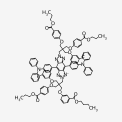 CCCCOC(=O)c1cccc(OCC(COc2ccc(C(=O)OCCC)cc2)(COc2cccc(F)c2)C[n+]2nc3c(-c4ccc(N(c5ccccc5)c5ccccc5)cc4)c4nn(CC(COc5ccc(C(=O)OCCC)cc5)(COc5ccc(C(=O)OCCC)cc5)COc5cccc(F)c5)nc4c(-c4ccc(N(c5ccccc5)c5ccccc5)cc4)c3[n-]2)c1